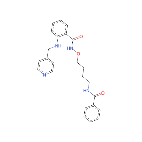 O=C(NCCCCONC(=O)c1ccccc1NCc1ccncc1)c1ccccc1